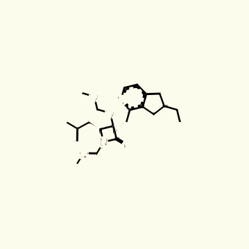 CCC1Cc2ccnc(C[C@]3(OCOC)C(=O)N(COC)[C@H]3CC(C)C)c2C1